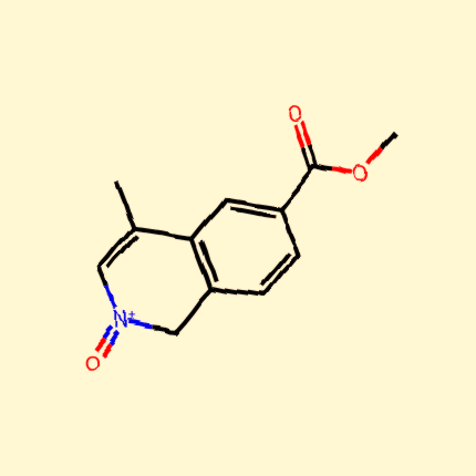 COC(=O)c1ccc2c(c1)C(C)=C[N+](=O)C2